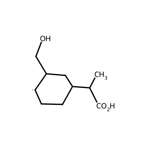 CC(C(=O)O)C1CC[CH]C(CO)C1